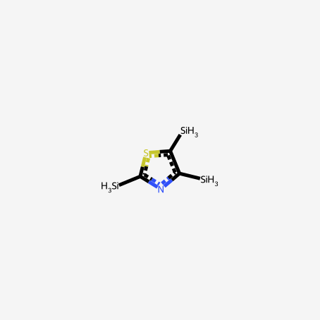 [SiH3]c1nc([SiH3])c([SiH3])s1